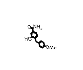 COc1ccc(Cc2ccc(C(N)=O)cc2O)cc1